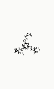 C=CCOc1nc(OCC2(C)CO2)nc(OCC2(C)CO2)n1